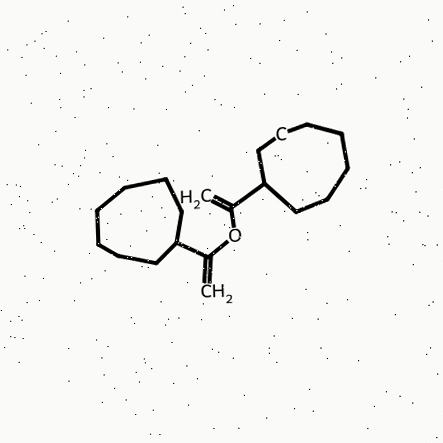 C=C(OC(=C)C1CCCCCCC1)C1CCCCCCC1